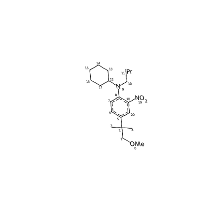 COCC(C)(C)c1ccc(N(CC(C)C)C2CCCCC2)c([N+](=O)[O-])c1